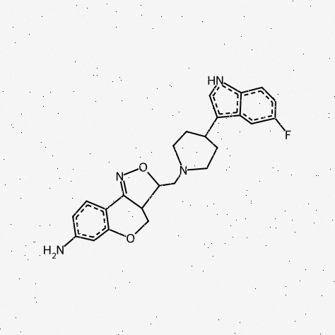 Nc1ccc2c(c1)OCC1C2=NOC1CN1CCC(c2c[nH]c3ccc(F)cc23)CC1